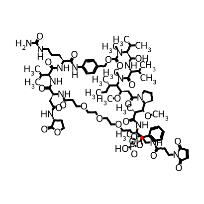 CC[C@H](C)C([C@@H](CC(=O)N1CCC[C@H]1[C@H](OC)[C@@H](C)C(=O)N[C@H](C)C(OP(=O)(O)O)c1ccccc1)OC)N(C)C(=O)[C@@H](NC(O)[C@H](C(C)C)N(C)C(=O)OCc1ccc(NC(=O)[C@H](CCCNC(N)=O)NC(=O)[C@@H](NC(=O)[C@H](CC(=O)N[C@H]2CCOC2=O)NC(=O)CCOCCOCCOCCOCCNC(=O)CCN2C(=O)C=CC2=O)C(C)C)cc1)C(C)C